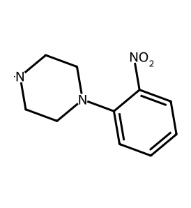 O=[N+]([O-])c1ccccc1N1CC[N]CC1